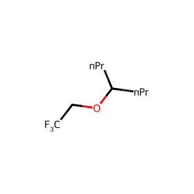 [CH2-][CH+]CC(C[CH+][CH2-])OCC(F)(F)F